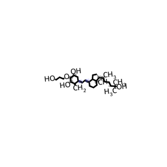 C=C1/C(=C/C=C2\CCC[C@@]3(C)C2CC[C@@H]3[C@H](C)CCCC(C)(C)O)C[C@@H](O)[C@@H](OCCCO)[C@@H]1O